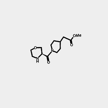 COC(=O)CC1CCN(C(=O)[C@@H]2COCCN2)CC1